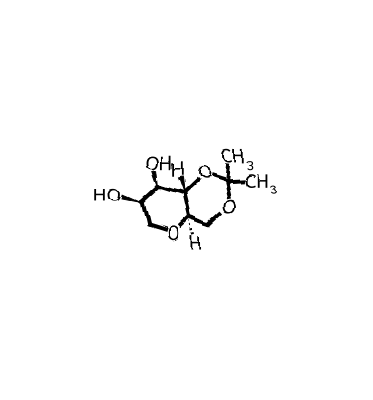 CC1(C)OC[C@H]2OC[C@@H](O)[C@@H](O)[C@@H]2O1